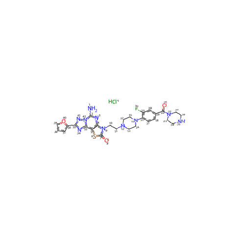 Cl.Nc1nc2c(sc(=O)n2CCN2CCN(c3ccc(C(=O)N4CCNCC4)cc3F)CC2)c2nc(-c3ccco3)nn12